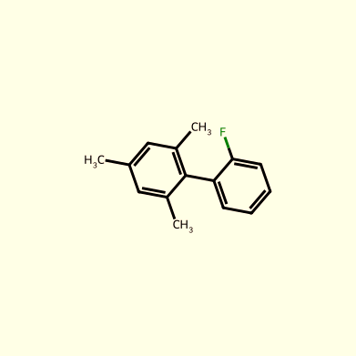 Cc1cc(C)c(-c2ccccc2F)c(C)c1